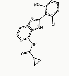 N#Cc1cccc(Cl)c1-c1nc2ccnc(NC(=O)C3CC3)c2[nH]1